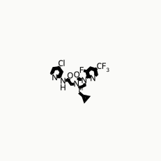 O=C(CN1C(=O)N(c2ncc(C(F)(F)F)cc2F)C[C@@H]1CC1CC1)Nc1cc(Cl)ccn1